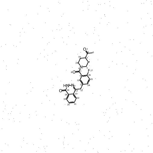 CC(=O)C1CCN(C(=O)c2cc(Cc3n[nH]c(=O)c4ccccc34)ccc2F)CC1